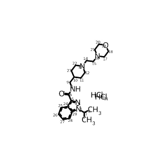 CC(C)n1nc(C(=O)NCC2CCN(CCN3CCOCC3)CC2)c2ccccc21.Cl.Cl